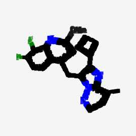 COc1cc(Cc2c(C3=CC=C3)nc3c(C)ccnn23)c2ccc(F)c(F)c2n1